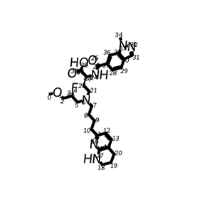 COC[C@@H](F)CN(CCCCc1ccc2c(n1)NCCC2)CC[C@H](NC(=O)c1ccc2cnn(C)c2c1)C(=O)O